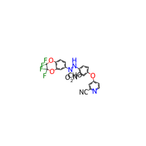 N#Cc1cc(Oc2ccc(NN(C=O)c3ccc4c(c3)OC(F)(F)C(F)(F)O4)c([N+](=O)[O-])c2)ccn1